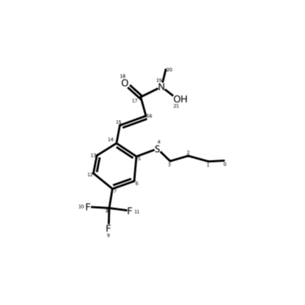 CCCCSc1cc(C(F)(F)F)ccc1/C=C/C(=O)N(C)O